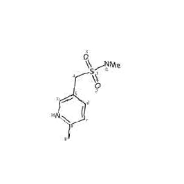 CNS(=O)(=O)Cc1ccc(C)nc1